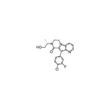 C[C@@H](CO)N1CCn2c(c(-c3ccc(Cl)c(F)c3)c3ncccc32)C1=O